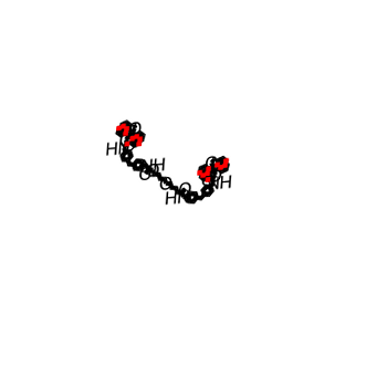 COC(c1ccccc1)(c1ccccc1)C(OC(=O)Nc1ccc(Cc2ccc(NC(=O)CCCCOCCCCOC(=O)Nc3ccc(Cc4ccc(NC(=O)OC(c5ccccc5)(c5ccccc5)C(OC)(c5ccccc5)c5ccccc5)cc4)cc3)cc2)cc1)(c1ccccc1)c1ccccc1